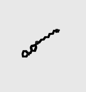 BrCCCCCCCCOc1ccc(CN2CCCCC2)cc1